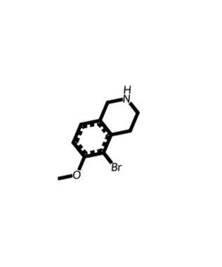 COc1ccc2c(c1Br)CCNC2